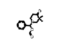 CC1(C)CN(C(OC=O)c2ccccc2)CCC1=O